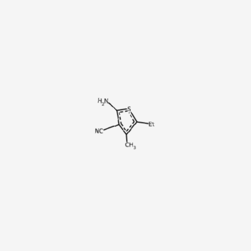 CCc1sc(N)c(C#N)c1C